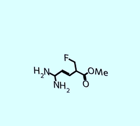 COC(=O)C(C=CC(N)N)CF